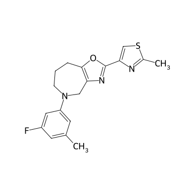 Cc1cc(F)cc(N2CCCc3oc(-c4csc(C)n4)nc3C2)c1